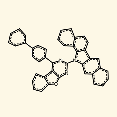 c1ccc(-c2ccc(-c3nc(-n4c5cc6ccccc6cc5c5ccc6ccccc6c54)nc4oc5ccccc5c34)cc2)cc1